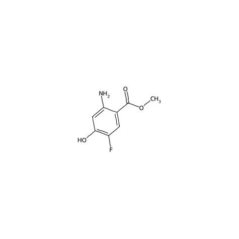 COC(=O)c1cc(F)c(O)cc1N